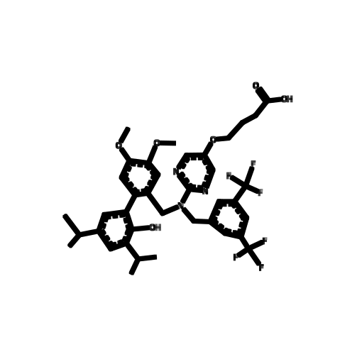 COc1cc(CN(Cc2cc(C(F)(F)F)cc(C(F)(F)F)c2)c2ncc(OCCCC(=O)O)cn2)c(-c2cc(C(C)C)cc(C(C)C)c2O)cc1OC